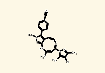 Cc1nn(-c2cc(N)[nH]c3nn(C)c(-c4ccc(C#N)cc4)c3ccn2)c(C)c1Cl